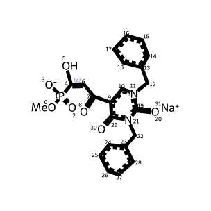 COP(=O)([O-])/C(O)=C\C(=O)c1cn(Cc2ccccc2)c(=O)n(Cc2ccccc2)c1=O.[Na+]